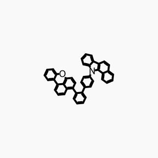 c1ccc2c(c1)Oc1ccc(-c3ccccc3-c3ccc(-n4c5ccccc5c5ccc6ccccc6c54)cc3)c3cccc-2c13